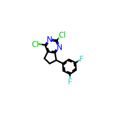 Fc1cc(F)cc(C2CCc3c(Cl)nc(Cl)nc32)c1